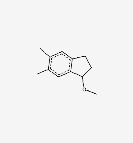 COC1CCc2cc(C)c(C)cc21